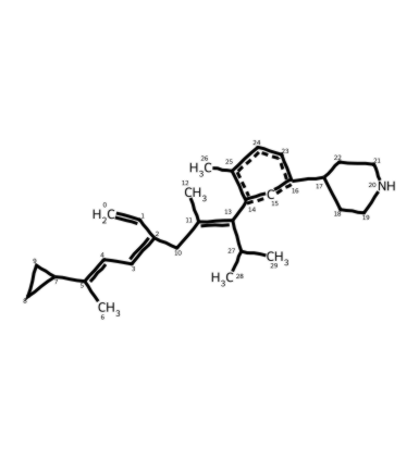 C=C/C(=C\C=C(/C)C1CC1)C/C(C)=C(/c1cc(C2CCNCC2)ccc1C)C(C)C